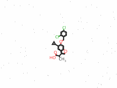 CC(C(=O)O)c1coc2cc(OCc3ccc(Cl)cc3Cl)c(C3CC3)cc12